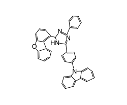 c1ccc(C2=NC(c3cccc4oc5ccccc5c34)NC(c3ccc(-n4c5ccccc5c5ccccc54)cc3)=N2)cc1